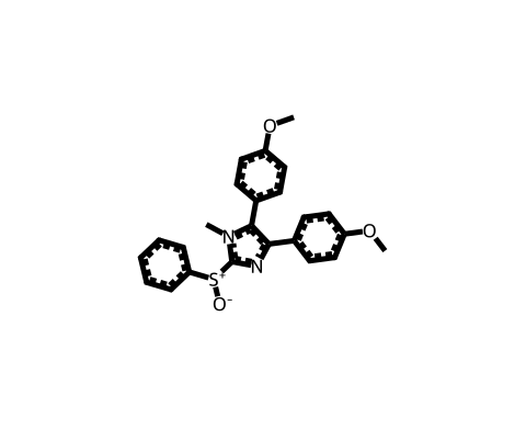 COc1ccc(-c2nc([S+]([O-])c3ccccc3)n(C)c2-c2ccc(OC)cc2)cc1